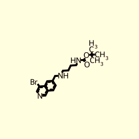 CC(C)(C)OC(=O)NCCCCNCc1ccc2cncc(Br)c2c1